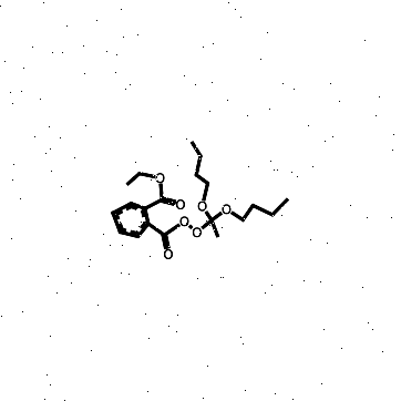 CCCCOC(C)(OCCCC)OOC(=O)c1ccccc1C(=O)OCC